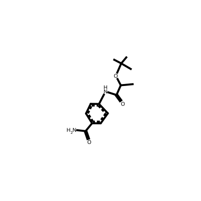 CC(OC(C)(C)C)C(=O)Nc1ccc(C(N)=O)cc1